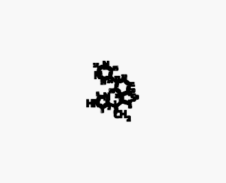 C=C(c1c[nH]cn1)c1csc2ccc(-c3cncnc3)cc12